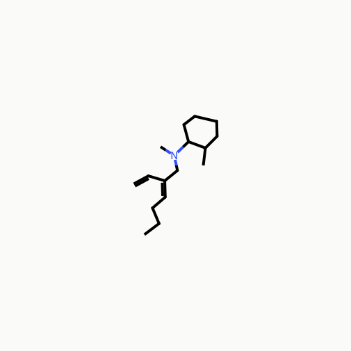 C=C/C(=C\CCC)CN(C)C1CCCCC1C